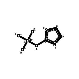 [O-][Cl+3]([O-])([O-])Oc1nccs1